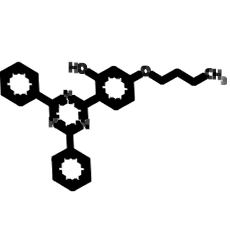 CCCCOc1ccc(-c2nc(-c3ccccc3)nc(-c3ccccc3)n2)c(O)c1